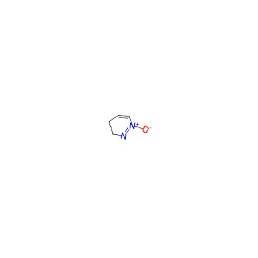 [O-][N+]1=NCCC=C1